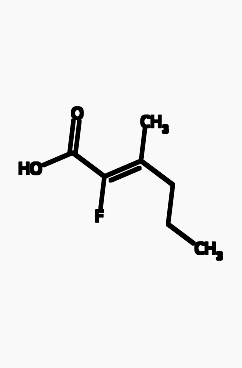 CCCC(C)=C(F)C(=O)O